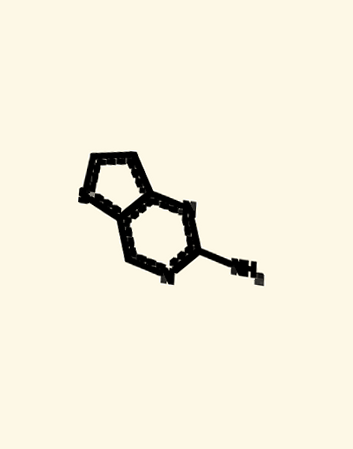 Nc1ncc2sccc2n1